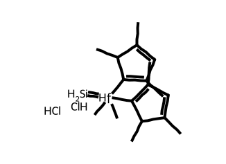 CC1=CC(C)=[C]([Hf]([CH3])([CH3])(=[SiH2])[C]2=C(C)C=C(C)C2C)C1C.Cl.Cl